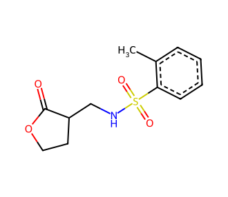 Cc1ccccc1S(=O)(=O)NCC1CCOC1=O